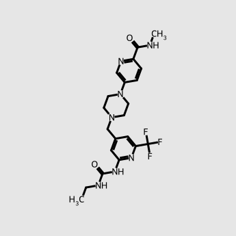 CCNC(=O)Nc1cc(CN2CCN(c3ccc(C(=O)NC)nc3)CC2)cc(C(F)(F)F)n1